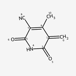 C=C1C(=O)NC(=O)C(C#N)=C1C